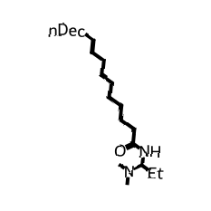 CCCCCCCCCCCCCCCCCCCC(=O)NC(CC)N(C)C